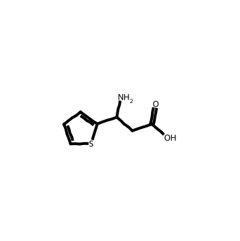 NC(CC(=O)O)c1cccs1